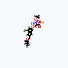 CC(C)(C)OC(=O)NC(COc1cc(F)c2c(c1)CC(CO[Si](C)(C)C(C)(C)C)C2)C(=O)O